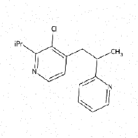 CC(C)c1nccc(CC(C)c2ccccn2)c1Cl